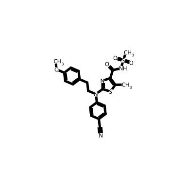 COc1ccc(CCN(c2ccc(C#N)cc2)c2nc(C(=O)NS(C)(=O)=O)c(C)s2)cc1